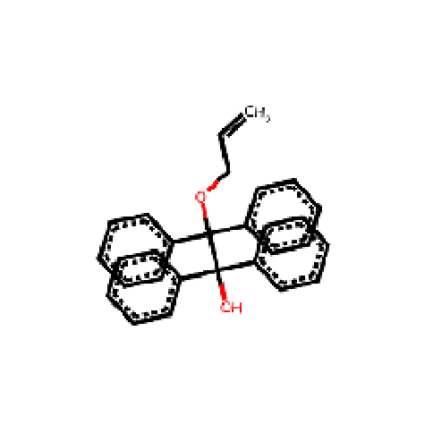 C=CCOC(c1ccccc1)(c1ccccc1)C(O)(c1ccccc1)c1ccccc1